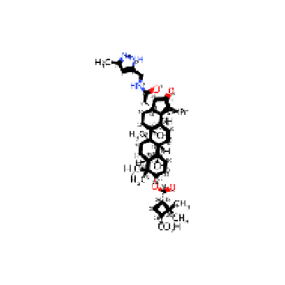 Cc1cc(CNC(=O)C[C@@]23CC[C@]4(C)[C@H](CC[C@@H]5[C@@]6(C)CC[C@H](OC(=O)[C@H]7C[C@@H](C(=O)O)C7(C)C)C(C)(C)[C@@H]6CC[C@]54C)C2=C(C(C)C)C(=O)C3)[nH]n1